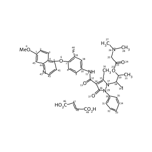 COc1ccc2c(Oc3ccc(NC(=O)c4c(C)n(C(I)C(C)OC(=O)CN(C)C)n(-c5ccccc5)c4=O)cc3F)ccnc2c1.O=C(O)C=CC(=O)O